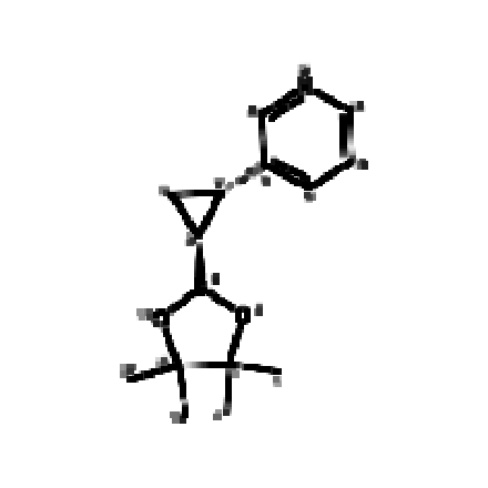 CC1(C)OB([C@H]2C[C@@H]2c2cccnc2)OC1(C)C